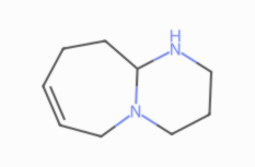 C1=CCN2CCCNC2CC1